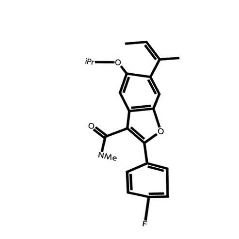 C/C=C(/C)c1cc2oc(-c3ccc(F)cc3)c(C(=O)NC)c2cc1OC(C)C